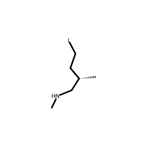 CNC[C@@H](C)CCI